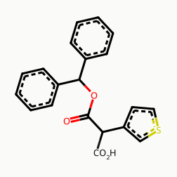 O=C(O)C(C(=O)OC(c1ccccc1)c1ccccc1)c1ccsc1